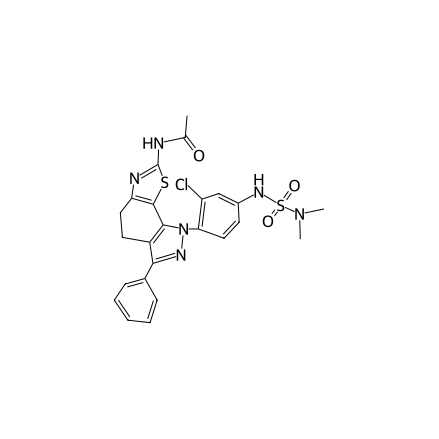 CC(=O)Nc1nc2c(s1)-c1c(c(-c3ccccc3)nn1-c1ccc(NS(=O)(=O)N(C)C)cc1Cl)CC2